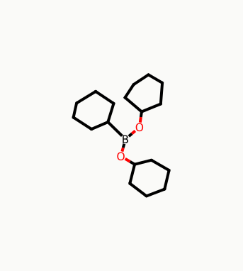 C1CCC(OB(OC2CCCCC2)C2CCCCC2)CC1